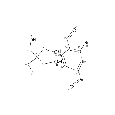 CCC(CO)(CO)CO.O=Cc1ccc(C=O)c(Br)c1